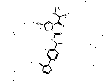 Cc1ncsc1-c1ccc([C@H](C)NC(=O)[C@@H]2C[C@@H](O)CN2C(=O)[C@@H](NC(=O)O)C(C)(C)C)cc1